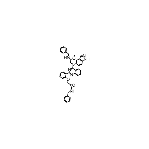 COC(CN(c1ccc2[nH]ncc2c1)c1nc(-c2ccccc2OCC2OC2NCc2ccccc2)nc2ccccc12)NCc1ccccc1